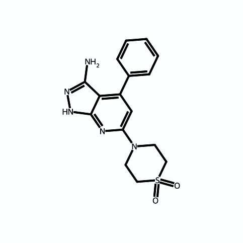 Nc1n[nH]c2nc(N3CCS(=O)(=O)CC3)cc(-c3ccccc3)c12